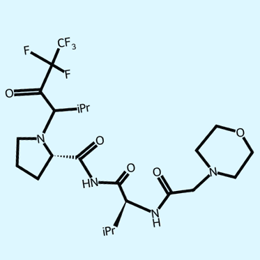 CC(C)C(C(=O)C(F)(F)C(F)(F)F)N1CCC[C@H]1C(=O)NC(=O)[C@@H](NC(=O)CN1CCOCC1)C(C)C